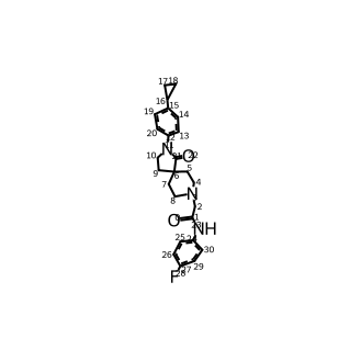 O=C(CN1CCC2(CC1)CCN(c1ccc(C3CC3)cc1)C2=O)Nc1ccc(F)cc1